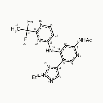 CCn1ncc(-c2cnc(NC(C)=O)cc2Nc2ccnc(C(C)(F)F)n2)n1